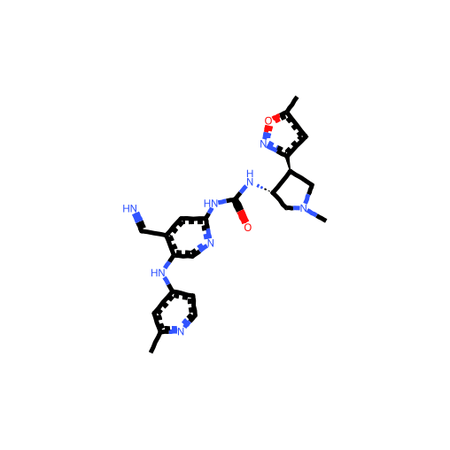 Cc1cc(Nc2cnc(NC(=O)N[C@H]3CN(C)C[C@@H]3c3cc(C)on3)cc2C=N)ccn1